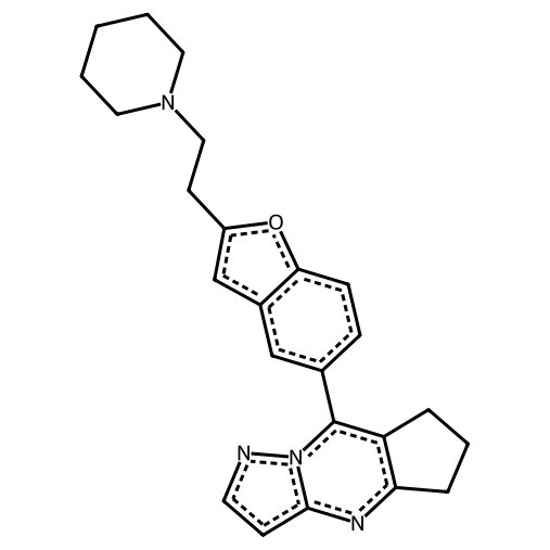 c1cc2nc3c(c(-c4ccc5oc(CCN6CCCCC6)cc5c4)n2n1)CCC3